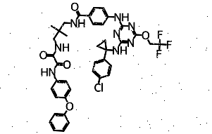 CC(C)(CNC(=O)C(=O)Nc1ccc(Oc2ccccc2)cc1)CNC(=O)c1ccc(Nc2nc(NC3(c4ccc(Cl)cc4)CC3)nc(OCC(F)(F)F)n2)cc1